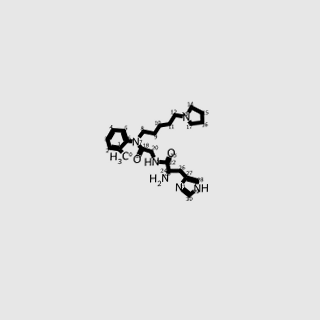 Cc1ccccc1N(CCCCCN1CCCC1)C(=O)CNC(=O)C(N)Cc1c[nH]cn1